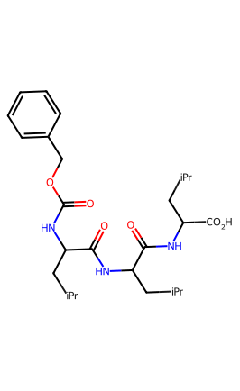 CC(C)CC(NC(=O)C(CC(C)C)NC(=O)C(CC(C)C)NC(=O)OCc1ccccc1)C(=O)O